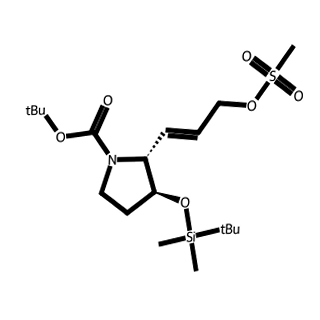 CC(C)(C)OC(=O)N1CC[C@H](O[Si](C)(C)C(C)(C)C)[C@H]1C=CCOS(C)(=O)=O